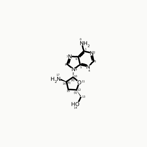 Nc1ncnc2c1ncn2[C@@H]1O[C@H](CO)C[C@H]1N